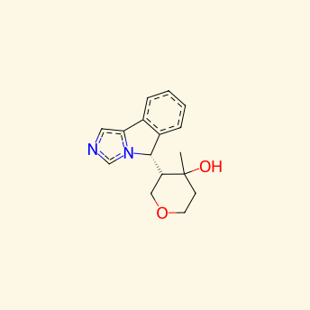 CC1(O)CCOCC1[C@H]1c2ccccc2-c2cncn21